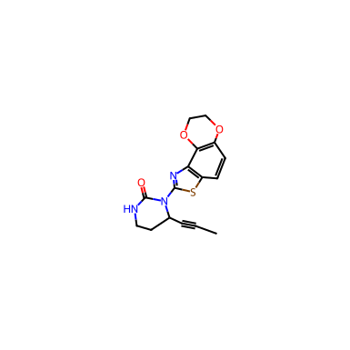 CC#CC1CCNC(=O)N1c1nc2c3c(ccc2s1)OCCO3